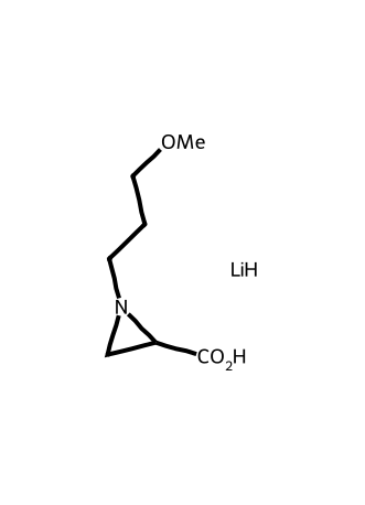 COCCCN1CC1C(=O)O.[LiH]